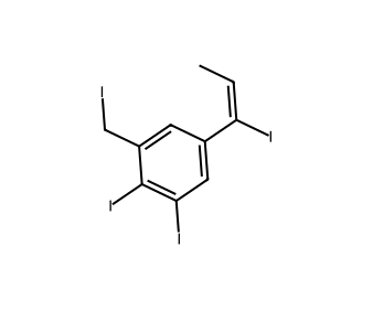 C/C=C(/I)c1cc(I)c(I)c(CI)c1